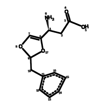 N[C@H](CC(=O)O)C1=COC(Cc2ccccc2)O1